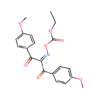 CCOC(=O)ON=C(C(=O)c1ccc(OC)cc1)C(=O)c1ccc(OC)cc1